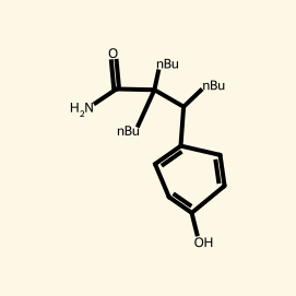 CCCCC(c1ccc(O)cc1)C(CCCC)(CCCC)C(N)=O